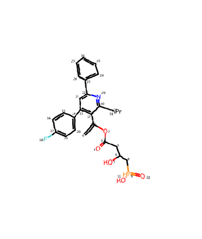 C=C(OC(=O)CC(O)C[PH](=O)O)c1c(-c2ccc(F)cc2)cc(-c2ccccc2)nc1C(C)C